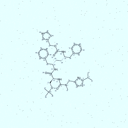 CC(C)c1nc(CN(C)C(=O)N[C@@H](COC(C)(C)C)C(=O)N[C@@H](CC[C@@H](Cc2ccccc2)NC(=O)OCc2cncs2)Cc2ccccc2)cs1